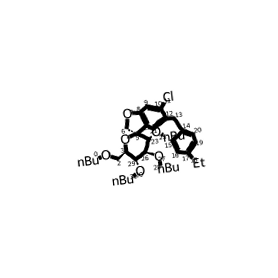 CCCCOC[C@H]1O[C@]2(COc3cc(Cl)c(Cc4ccc(CC)cc4)cc32)[C@H](OCCCC)[C@@H](OCCCC)[C@@H]1OCCCC